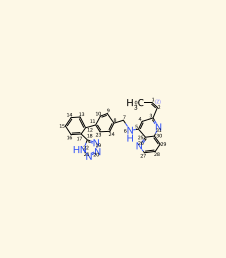 C/C=C\c1cc(NCc2ccc(-c3ccccc3-c3nnn[nH]3)cc2)c2ncccc2n1